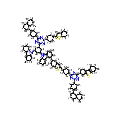 c1ccc2sc(-c3ccc(-c4nc(-c5ccc(-c6cccc7ccccc67)cc5)nc(-c5cc(-n6c7ccccc7c7ccccc76)cc(-n6c7ccccc7c7c(-c8ccc9sc(-c%10ccc(-c%11nc(-c%12ccc(-c%13cccc%14ccccc%13%14)cc%12)nc(-c%12ccc%13c(c%12)sc%12ccccc%12%13)n%11)cc%10)cc9c8)cccc76)c5)n4)cc3)cc2c1